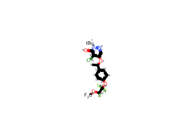 CC(Oc1cnn(C(C)(C)C)c(=O)c1Cl)c1ccc(OC(F)(F)C(F)OC(F)(F)F)cc1